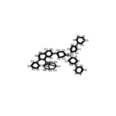 c1ccc(-c2ccc(N(c3ccc(-c4ccccc4)cc3)c3ccc(-c4ccc5ccc(-c6ccccc6)c(C6C7CC8CC(C7)CC6C8)c5c4)cc3)cc2)cc1